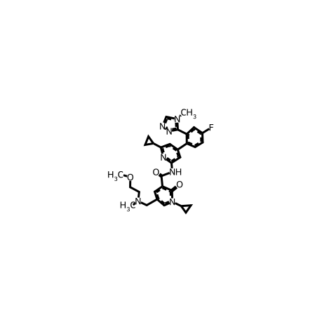 COCCN(C)Cc1cc(C(=O)Nc2cc(-c3ccc(F)cc3-c3nncn3C)cc(C3CC3)n2)c(=O)n(C2CC2)c1